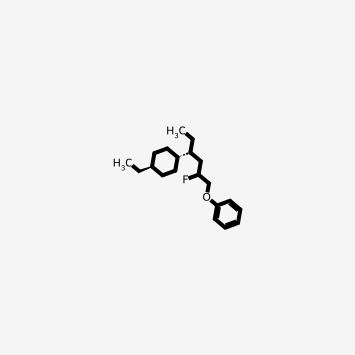 CCC(CC(F)COc1ccccc1)[C@H]1CC[C@H](CC)CC1